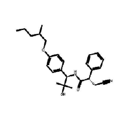 CCCC(C)COc1ccc([C@@H](NC(=O)[C@@H](CC#N)c2ccccc2)C(C)(C)O)cc1